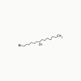 CCCCCCCCCCCCCCBr.[Zn]